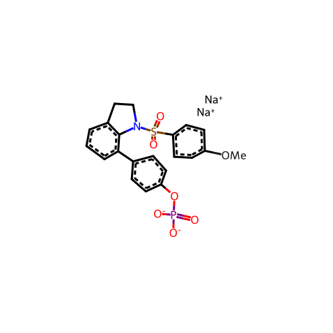 COc1ccc(S(=O)(=O)N2CCc3cccc(-c4ccc(OP(=O)([O-])[O-])cc4)c32)cc1.[Na+].[Na+]